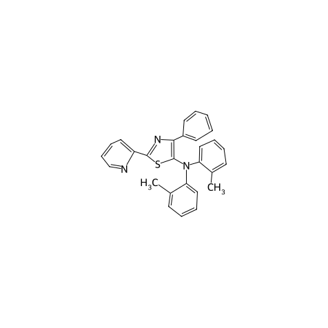 Cc1ccccc1N(c1ccccc1C)c1sc(-c2ccccn2)nc1-c1ccccc1